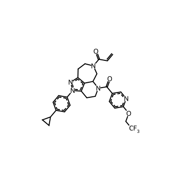 C=CC(=O)N1CCc2nn(-c3ccc(C4CC4)cc3)c3c2C(C1)N(C(=O)c1ccc(OCC(F)(F)F)nc1)CC3